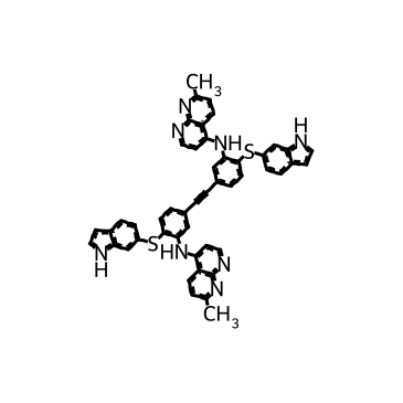 Cc1ccc2c(Nc3cc(C#Cc4ccc(Sc5ccc6cc[nH]c6c5)c(Nc5ccnc6nc(C)ccc56)c4)ccc3Sc3ccc4cc[nH]c4c3)ccnc2n1